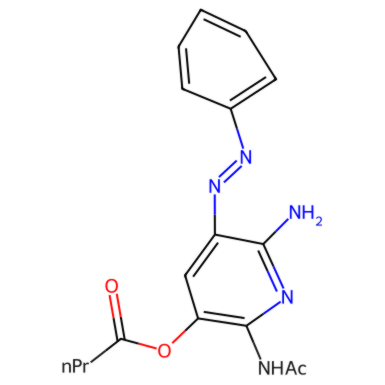 CCCC(=O)Oc1cc(/N=N/c2ccccc2)c(N)nc1NC(C)=O